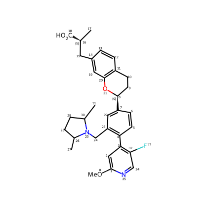 COc1cc(-c2ccc([C@@H]3CCc4ccc(C[C@H](C)C(=O)O)cc4O3)cc2CN2C(C)CCC2C)c(F)cn1